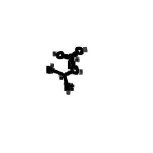 CCC(Br)O[SH](=O)=O